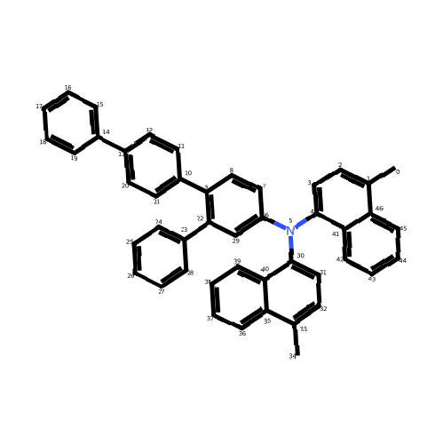 Cc1ccc(N(c2ccc(-c3ccc(-c4ccccc4)cc3)c(-c3ccccc3)c2)c2ccc(C)c3ccccc23)c2ccccc12